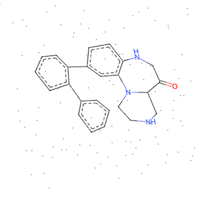 O=C1CNc2ccc(-c3ccccc3-c3ccccc3)cc2N2CCNCC12